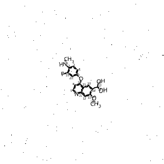 CNc1ccc(Oc2ccnc3cc(OC)c(C(O)O)cc23)cc1F